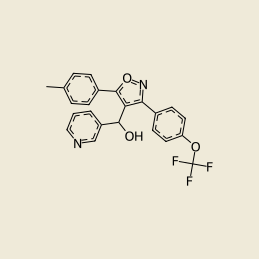 Cc1ccc(-c2onc(-c3ccc(OC(F)(F)F)cc3)c2C(O)c2cccnc2)cc1